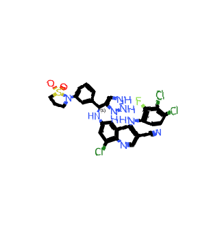 N#Cc1cnc2c(Cl)cc(N[C@H](C3=CNNN3)c3cccc(N4CCCS4(=O)=O)c3)cc2c1Nc1ccc(Cl)c(Cl)c1F